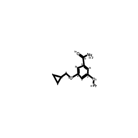 CC(C)Oc1cc(OCC2CC2)cc(C(N)=O)c1